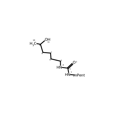 CCCCCNC(=O)NCCCCC(C)O